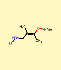 CCNC/C(C)=C(\C)ONC